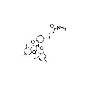 Cc1cc(C)c(C(=O)P(=O)(C(=O)c2c(C)cc(C)cc2C)c2cccc(OCCC(N)=O)c2)c(C)c1